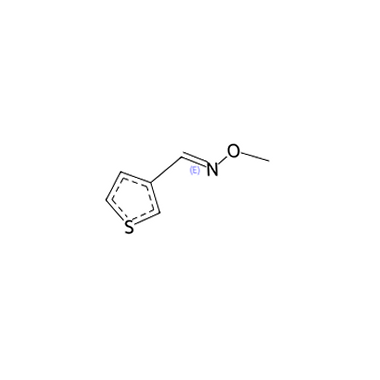 CO/N=C/c1ccsc1